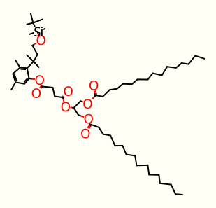 CCCCCCCCCCCCCCCC(=O)OCC(COC(=O)CCCCCCCCCCCCCCC)OC(=O)CCC(=O)Oc1cc(C)cc(C)c1C(C)(C)CCO[Si](C)(C)C(C)(C)C